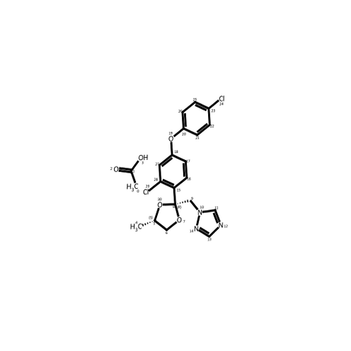 CC(=O)O.C[C@H]1CO[C@](Cn2cncn2)(c2ccc(Oc3ccc(Cl)cc3)cc2Cl)O1